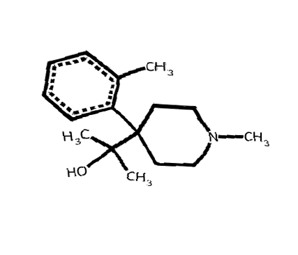 Cc1ccccc1C1(C(C)(C)O)CCN(C)CC1